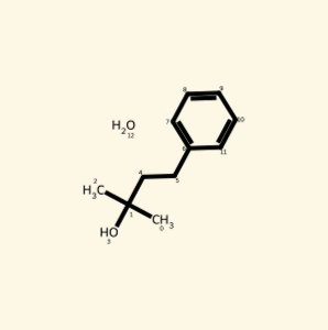 CC(C)(O)CCc1ccccc1.O